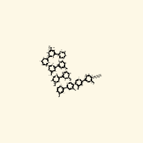 Cc1ccnc(-c2cc(C)ccn2)c1.Cc1ccnc(-c2cc(C)ccn2)c1.Cc1ccnc(-c2cc(C)ccn2)c1.Cc1ccnc(-c2cc(C)ccn2)c1.[Cl-].[Cl-].[Cl-].[Cl-].[Os+4].c1ccc(-c2cccc(-c3ccccn3)n2)nc1